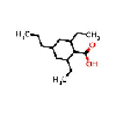 CCCC1CC(CC)C(C(=O)O)C(CC)C1